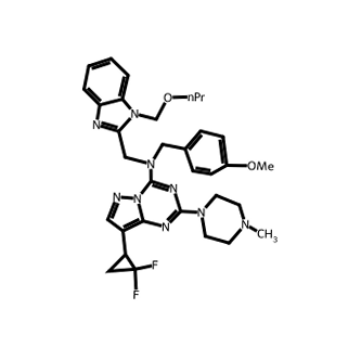 CCCOCn1c(CN(Cc2ccc(OC)cc2)c2nc(N3CCN(C)CC3)nc3c(C4CC4(F)F)cnn23)nc2ccccc21